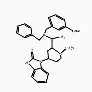 COc1cccc(CN(Cc2ccccc2)C(C)C2CC(n3c(=O)[nH]c4ccccc43)CCN2C(=O)O)c1